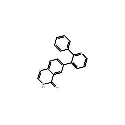 O=c1[nH]cnc2ccc(-c3cccnc3-c3ccccc3)cc12